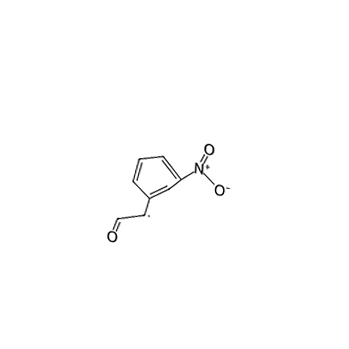 O=C[CH]c1cccc([N+](=O)[O-])c1